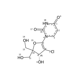 O=c1ccn(C2=C(Cl)[C@H](O)C(CO)(CO)O2)c(=O)[nH]1